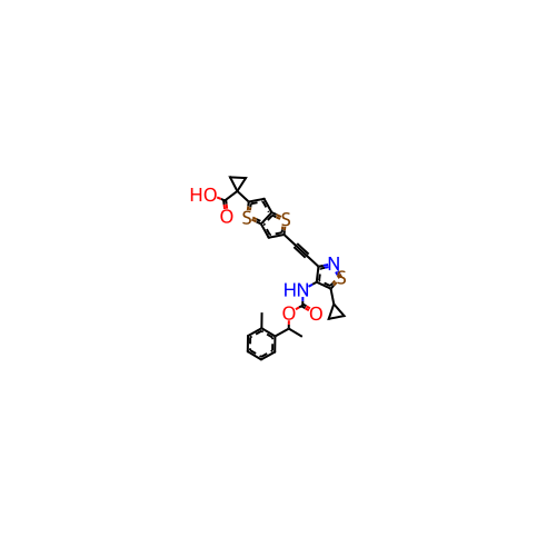 Cc1ccccc1C(C)OC(=O)Nc1c(C#Cc2cc3sc(C4(C(=O)O)CC4)cc3s2)nsc1C1CC1